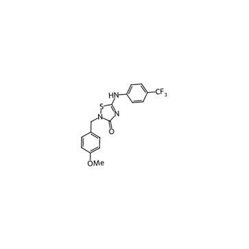 COc1ccc(Cn2sc(Nc3ccc(C(F)(F)F)cc3)nc2=O)cc1